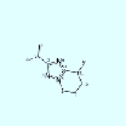 CC(C)c1nc2n(n1)CCCC2C